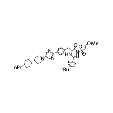 CCC[C@H]1CC[C@H](C2CCN(c3cnc(-c4ccc(CC(NC(=O)c5ccc(C(C)(C)C)s5)C(=O)NS(=O)(=O)CCOC)cc4)nc3)CC2)CC1